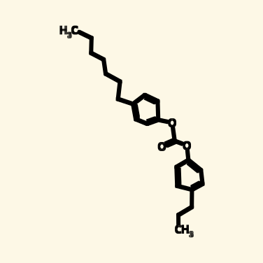 CCCCCCCc1ccc(OC(=O)Oc2ccc(CCC)cc2)cc1